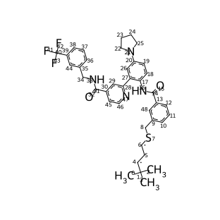 CC(C)(C)[CH]C[CH]SCc1cccc(C(=O)Nc2ccc(N3CCCC3)cc2-c2cc(C(=O)NCc3cccc(C(F)(F)F)c3)ccn2)c1